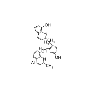 Cc1ccc(O)cc1C.Cc1ccc2cccc(O)c2n1.Cc1ccc2cccc(O)c2n1.[Al]